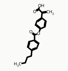 C=C(C(=O)O)c1ccc(OC(=O)c2ccc(CCCC)cc2)cc1